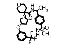 C[C@H](NC(=O)C1(N2CC[C@@H](Oc3cccc(C(F)(F)F)c3)C2)CCOCC1)c1ccc(S(C)(=N)=O)cc1